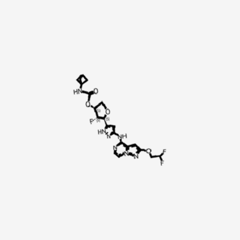 O=C(NC12CC(C1)C2)O[C@H]1CO[C@@H](c2cc(Nc3nccn4nc(OCC(F)F)cc34)n[nH]2)[C@@H]1F